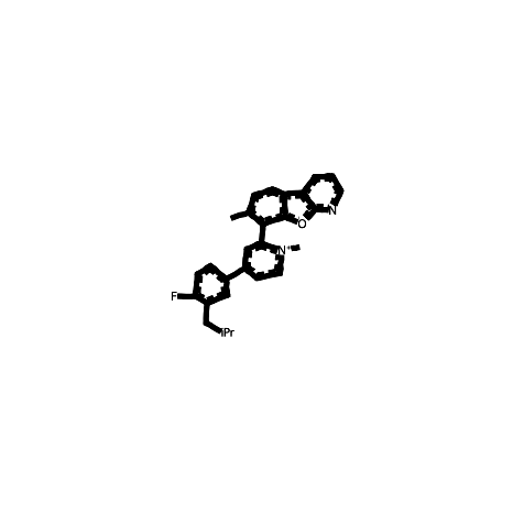 Cc1ccc2c(oc3ncccc32)c1-c1cc(-c2ccc(F)c(CC(C)C)c2)cc[n+]1C